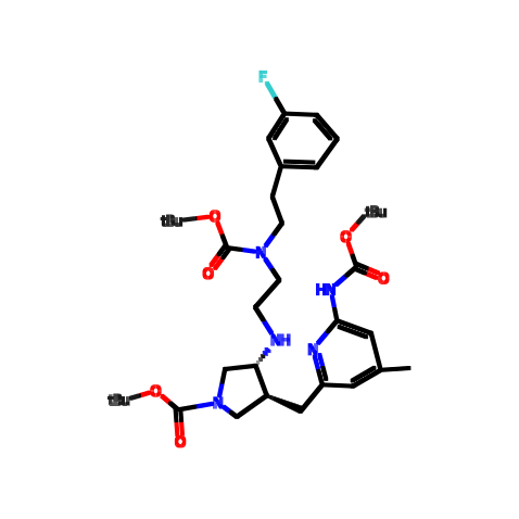 Cc1cc(C[C@H]2CN(C(=O)OC(C)(C)C)C[C@@H]2NCCN(CCc2cccc(F)c2)C(=O)OC(C)(C)C)nc(NC(=O)OC(C)(C)C)c1